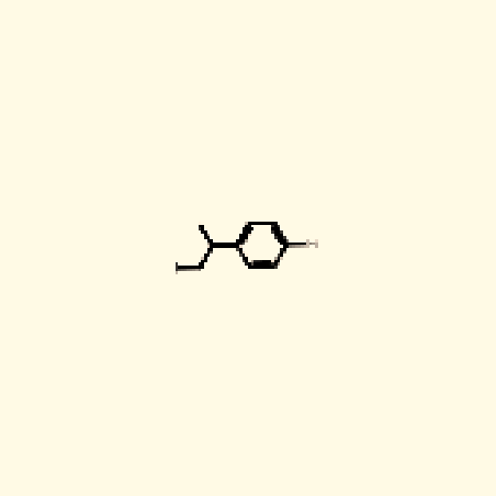 CCc1ccc(C(C)CI)cc1